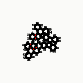 c1ccc(-c2ccccc2N(c2ccc3c4ccccc4c4ccccc4c3c2)c2cc3c(cc2-c2ccc4c5ccccc5c5ccccc5c4c2)-c2ccccc2C32c3ccccc3-c3ccccc32)cc1